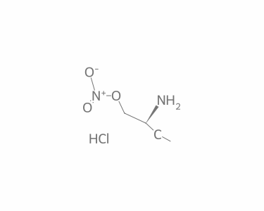 CC[C@H](N)CO[N+](=O)[O-].Cl